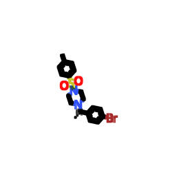 Cc1ccc(S(=O)(=O)N2CCN([C@@H](C)c3ccc(Br)cc3)CC2)cc1